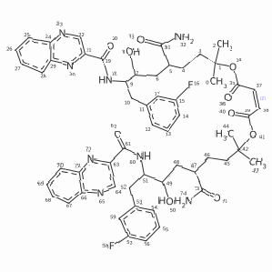 CC(C)(CCC(CC(O)C(Cc1cccc(F)c1)NC(=O)c1cnc2ccccc2n1)C(N)=O)OC(=O)/C=C\C(=O)OC(C)(C)CCC(CC(O)C(Cc1cccc(F)c1)NC(=O)c1cnc2ccccc2n1)C(N)=O